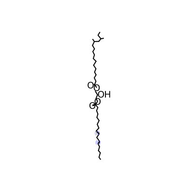 CCCCC/C=C/C/C=C/CCCCCCCC(=O)OCC(O)COC(=O)CCCCCCCCCCCCC(C)CC(C)CC